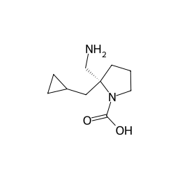 NC[C@]1(CC2CC2)CCCN1C(=O)O